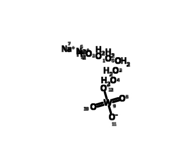 O.O.O.O.O.O.[Na+].[Na+].[O]=[W](=[O])([O-])[O-]